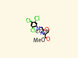 COC(=O)C1COC(CN(C(=O)O)c2cc(Cl)c(Cl)cc2Cl)=N1